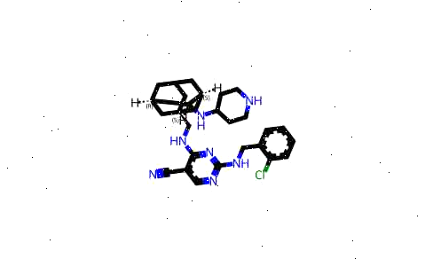 N#Cc1cnc(NCc2ccccc2Cl)nc1NC[C@]12CC3C[C@H](C1)[C@@H](NC1CCNCC1)[C@@H](C3)C2